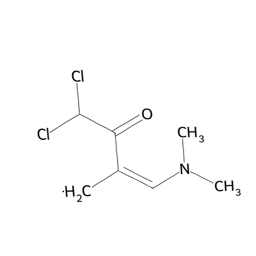 [CH2]C(=CN(C)C)C(=O)C(Cl)Cl